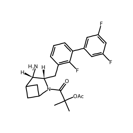 CC(=O)OC(C)(C)C(=O)N1C2CC(C2)[C@H](N)[C@@H]1Cc1cccc(-c2cc(F)cc(F)c2)c1F